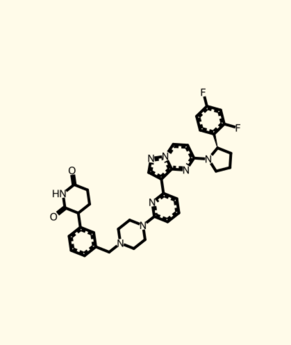 O=C1CCC(c2cccc(CN3CCN(c4cccc(-c5cnn6ccc(N7CCC[C@@H]7c7ccc(F)cc7F)nc56)n4)CC3)c2)C(=O)N1